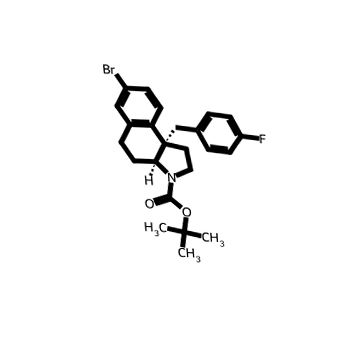 CC(C)(C)OC(=O)N1CC[C@]2(Cc3ccc(F)cc3)c3ccc(Br)cc3CC[C@H]12